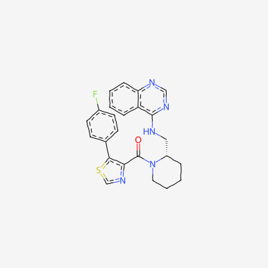 O=C(c1ncsc1-c1ccc(F)cc1)N1CCCC[C@H]1CNc1ncnc2ccccc12